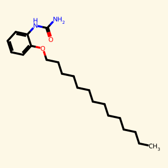 CCCCCCCCCCCCCCOc1ccccc1NC(N)=O